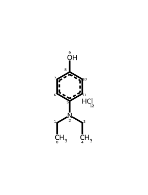 CCN(CC)c1ccc(O)cc1.Cl